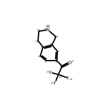 O=C(c1ccc2c(c1)CNCC2)C(F)(F)F